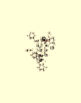 Cc1ncc(CO)c(CN(CCN(Cc2c(CO)cnc(C)c2O)C(C(=O)O)C(C)(C)COCc2ccccc2)C(C(=O)O)C(C)(C)COCc2ccccc2)c1O